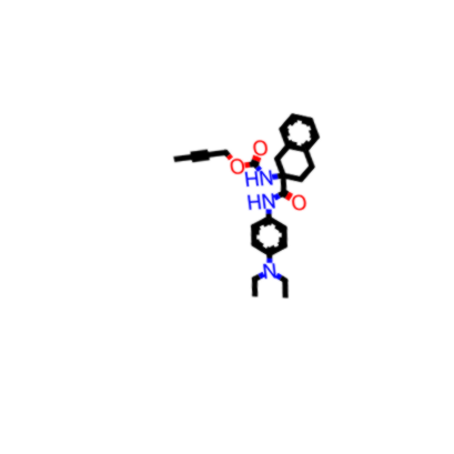 CC#CCOC(=O)NC1(C(=O)Nc2ccc(N(CC)CC)cc2)CCc2ccccc2C1